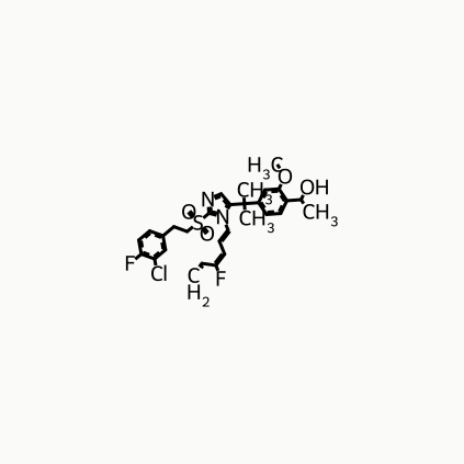 C=C/C(F)=C\C=C\n1c(C(C)(C)c2ccc(C(C)O)c(OC)c2)cnc1S(=O)(=O)CCc1ccc(F)c(Cl)c1